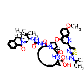 COc1ccc2c(O[C@@H]3C[C@H]4C(=O)N[C@]5(C(=O)O)CC5/C=C\CCCCC[C@H](NC(=O)N[C@H](CN5CCc6ccccc6C5=O)C(C)(C)C)C(=O)N4C3)cc(-c3csc(NC(C)C)n3)nc2c1